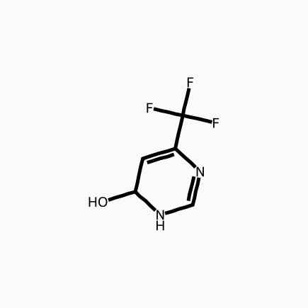 OC1C=C(C(F)(F)F)N=CN1